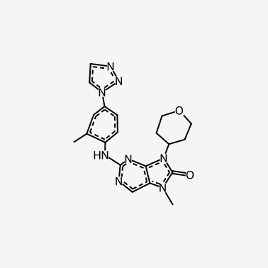 Cc1cc(-n2ccnn2)ccc1Nc1ncc2c(n1)n(C1CCOCC1)c(=O)n2C